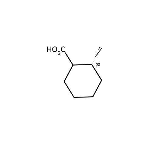 C[C@@H]1CCCCC1C(=O)O